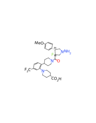 COc1ccc([C@@H]2CN(N)C[C@@]2(F)C(=O)N2CCC(c3ccc(C(F)(F)F)cc3N3CCC(C(=O)O)CC3)CC2)cc1